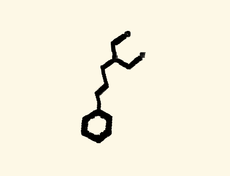 O=CN(CF)CCCc1ccccc1